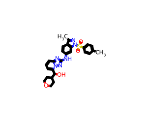 Cc1ccc(S(=O)(=O)n2nc(C)c3ccc(Nc4nc5cccc(C(O)C6CCOCC6)n5n4)cc32)cc1